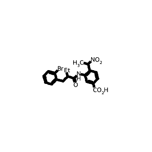 CCC(Cc1ccccc1Br)C(=O)Nc1cc(C(=O)O)ccc1C(C)[N+](=O)[O-]